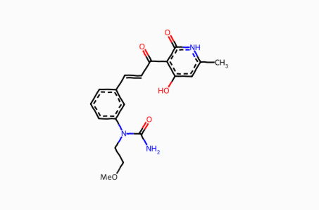 COCCN(C(N)=O)c1cccc(/C=C/C(=O)c2c(O)cc(C)[nH]c2=O)c1